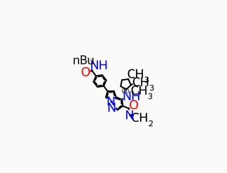 C=NC(=O)c1cnn2cc(-c3ccc(C(=O)NCCCC)cc3)cc2c1N[C@@H]1CCC(C)C1(C)C